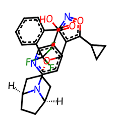 O=C(O)c1ccc(N2[C@@H]3CC[C@H]2C[C@H](OCc2c(-c4ccccc4C(F)(F)F)noc2C2CC2)C3)nc1